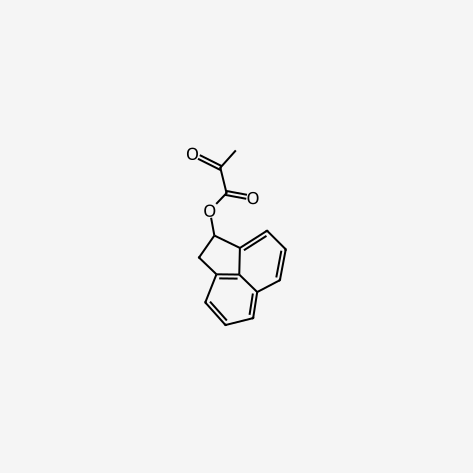 CC(=O)C(=O)OC1Cc2cccc3cccc1c23